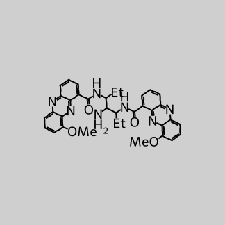 CCC(NC(=O)c1cccc2nc3cccc(OC)c3nc12)C(N)C(CC)NC(=O)c1cccc2nc3cccc(OC)c3nc12